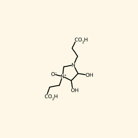 O=C(O)CCN1C[N+]([O-])(CCC(=O)O)C(O)C1O